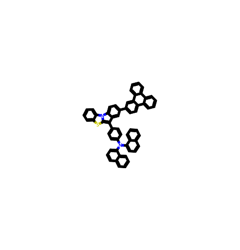 c1ccc2c(N(c3ccc(-c4c5cc(-c6ccc7c8ccccc8c8ccccc8c7c6)ccc5n5c4sc4ccccc45)cc3)c3cccc4ccccc34)cccc2c1